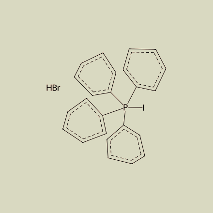 Br.IP(c1ccccc1)(c1ccccc1)(c1ccccc1)c1ccccc1